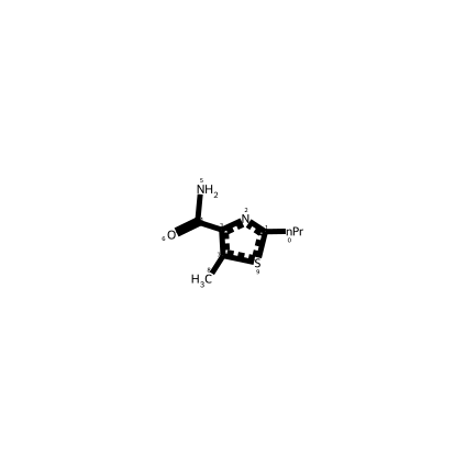 CCCc1nc(C(N)=O)c(C)s1